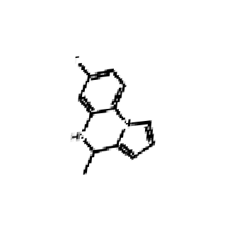 CC1Nc2cc(F)ccc2-n2cccc21